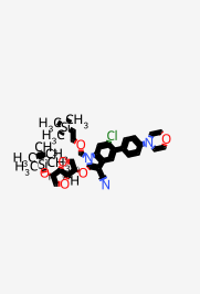 CC(C)(C)[Si](C)(C)O[C@@H]1CO[C@H]2C1OC[C@H]2Oc1c(C#N)c2cc(-c3ccc(N4CCOCC4)cc3)c(Cl)cc2n1COCC[Si](C)(C)C